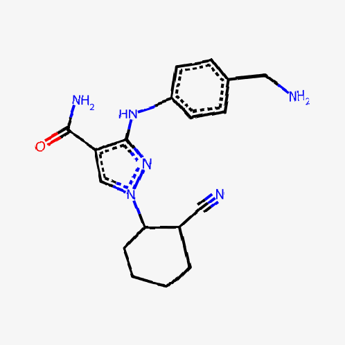 N#CC1CCCCC1n1cc(C(N)=O)c(Nc2ccc(CN)cc2)n1